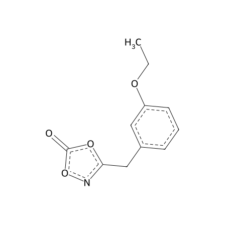 CCOc1cccc(Cc2noc(=O)o2)c1